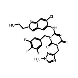 Cn1cnc(Cn2c(=O)nc(Nc3cc4cn(CCO)nc4cc3Cl)n(Cc3cc(F)c(F)c(F)c3)c2=O)n1